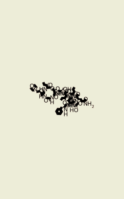 CC[C@H](C)[C@H](NC(=O)[C@@H](Cc1ccccc1)NC)C(=O)N[C@@H](CO)C(=O)N[C@H](CCC(N)=O)C(=O)N[C@@H](C(=O)N[C@H](C(=O)N[C@@H](CO)C(=O)N[C@H]1C(=O)N[C@@H](C)C(=O)N[C@@]2(C[C@H]2CCN2CCOCC2)C(=O)N[C@@H]([C@@H](C)CC)C(=O)O[C@H]1C)[C@@H](C)CC)[C@@H](C)CC